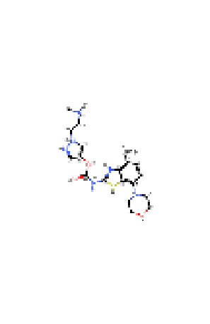 COc1ccc(N2CCOCC2)c2sc(NC(=O)Oc3cnn(CCN(C)C)c3)nc12